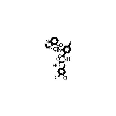 O=C(N[C@H](Cc1ccc(Cl)c(Cl)c1)C(=O)O)c1ccc(I)cc1NS(=O)(=O)c1cccc2nccnc12